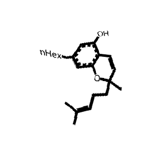 CCCCCCc1cc(O)c2c(c1)OC(C)(CCC=C(C)C)C=C2